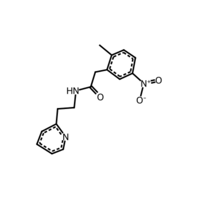 Cc1ccc([N+](=O)[O-])cc1CC(=O)NCCc1ccccn1